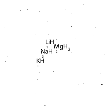 [KH].[LiH].[MgH2].[NaH]